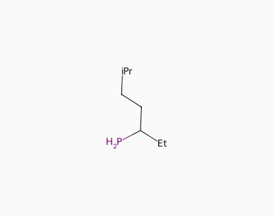 CCC(P)CCC(C)C